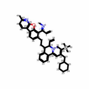 C=C/C(=N/C)c1c(CCC2c3ccccc3-c3cc(CC4CCCCC4)c([Si](C)(C)C)c[n+]3C2C=C)ccc2c1oc1nc(C)ccc12